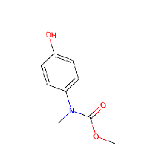 COC(=O)N(C)c1ccc(O)cc1